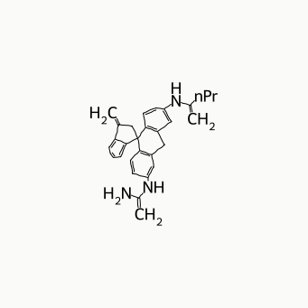 C=C(N)Nc1ccc2c(c1)Cc1cc(NC(=C)CCC)ccc1C21CC(=C)c2ccccc21